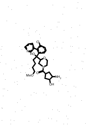 COCCCCC(O)(c1cccc(Cl)c1-c1cccnc1)C1CN(C(=O)C2CC(N)C(O)C2)CCO1